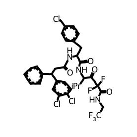 CC(C)C(NC(=O)C(Cc1ccc(Cl)cc1)NC(=O)CC(c1ccccc1)c1ccc(Cl)c(Cl)c1)C(=O)C(F)(F)C(=O)NCC(F)(F)F